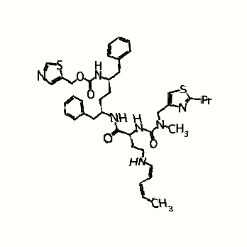 C/C=C\C=C/NCC[C@H](NC(=O)N(C)Cc1csc(C(C)C)n1)C(=O)N[C@H](CC[C@H](Cc1ccccc1)NC(=O)OCc1cncs1)Cc1ccccc1